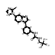 Cc1ncnn1-c1ccn2c(-c3cccc(NC(=O)NCC(F)(F)F)c3)cnc2c1